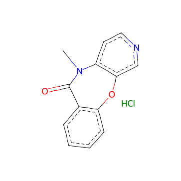 CN1C(=O)c2ccccc2Oc2cnccc21.Cl